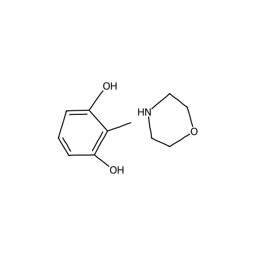 C1COCCN1.Cc1c(O)cccc1O